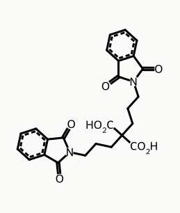 O=C1c2ccccc2C(=O)N1CCCC(CCCN1C(=O)c2ccccc2C1=O)(C(=O)O)C(=O)O